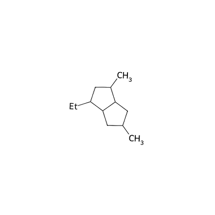 CCC1CC(C)C2CC(C)CC12